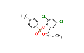 CC[C@H](OS(=O)(=O)c1ccc(C)cc1)c1cc(Cl)cc(Cl)c1